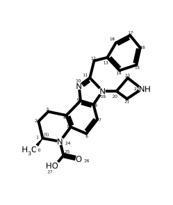 C[C@H]1CCc2c(ccc3c2nc(Cc2ccccc2)n3C2CNC2)N1C(=O)O